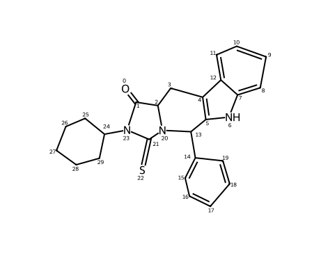 O=C1C2Cc3c([nH]c4ccccc34)C(c3ccccc3)N2C(=S)N1C1CCCCC1